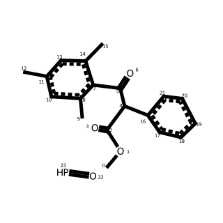 COC(=O)C(C(=O)c1c(C)cc(C)cc1C)c1ccccc1.O=P